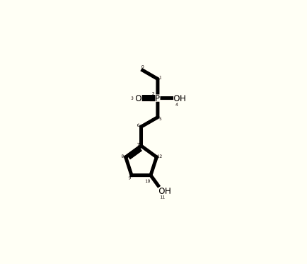 CCP(=O)(O)CCC1=CCC(O)C1